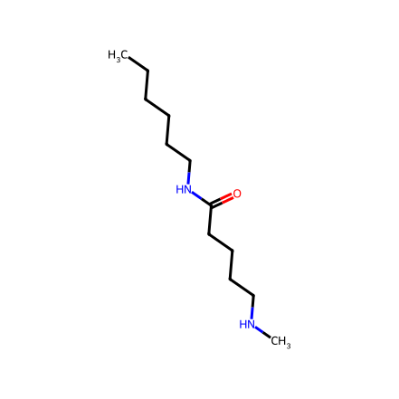 CCCCCCNC(=O)CCCCNC